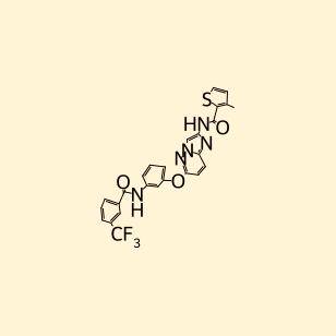 Cc1ccsc1C(=O)Nc1cn2nc(Oc3cccc(NC(=O)c4cccc(C(F)(F)F)c4)c3)ccc2n1